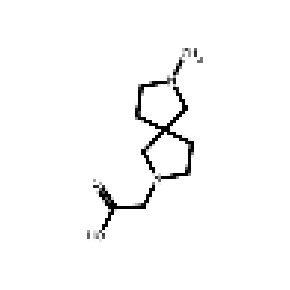 CN1CCC2(CCN(CC(=O)O)C2)C1